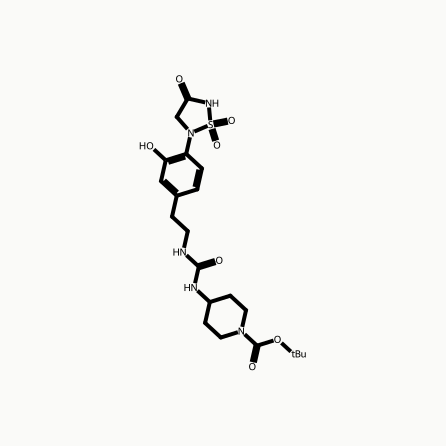 CC(C)(C)OC(=O)N1CCC(NC(=O)NCCc2ccc(N3CC(=O)NS3(=O)=O)c(O)c2)CC1